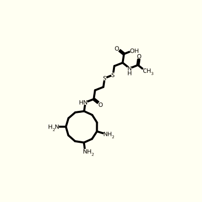 CC(=O)NC(CSSCCC(=O)NC1CCC(N)CCC(N)CC(N)CC1)C(=O)O